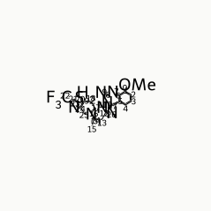 COc1cccc2c1nc(N)n1nc(C[C@H](C)N3CCc4sc(C(F)(F)F)nc4C3)nc21